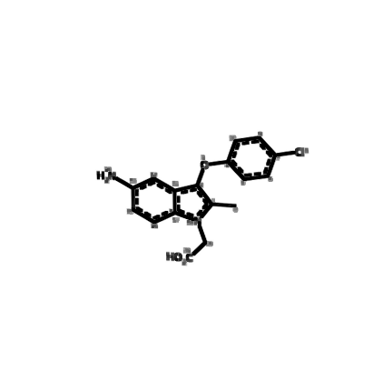 Cc1c(Oc2ccc(Cl)cc2)c2cc(N)ccc2n1CC(=O)O